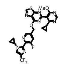 COc1ncnc(C2CC2)c1-c1nc(OCc2cnc(-c3nc(C(F)(F)F)cn3C3CC3)c(F)c2)c2ncsc2n1